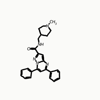 CN1CCC(CNC(=O)c2cc3nc(-c4ccccc4)cc(-c4ccccc4)n3n2)CC1